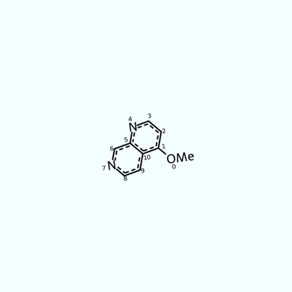 COc1ccnc2cnccc12